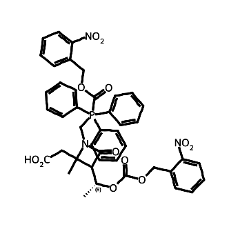 C[C@@H](OC(=O)OCc1ccccc1[N+](=O)[O-])C1C(=O)N(CP(C(=O)OCc2ccccc2[N+](=O)[O-])(c2ccccc2)(c2ccccc2)c2ccccc2)C1(C)CC(=O)O